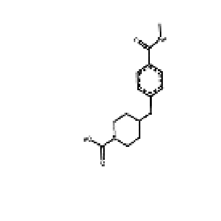 CNC(=O)c1ccc(CC2CCN(C(=O)O)CC2)cc1